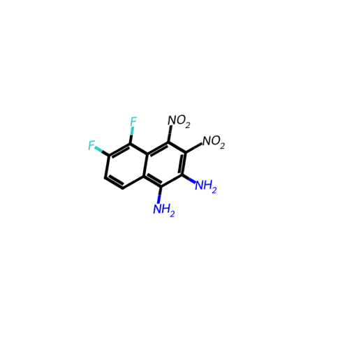 Nc1c([N+](=O)[O-])c([N+](=O)[O-])c2c(F)c(F)ccc2c1N